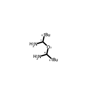 CC(C)(C)C(N)OC(N)C(C)(C)C